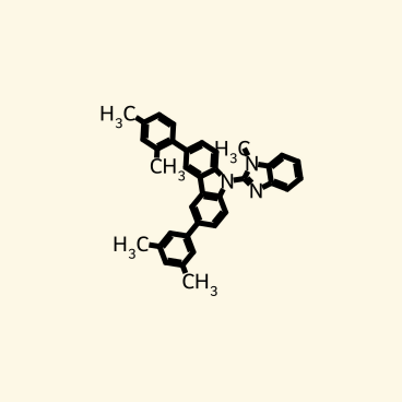 Cc1cc(C)cc(-c2ccc3c(c2)c2cc(-c4ccc(C)cc4C)ccc2n3-c2nc3ccccc3n2C)c1